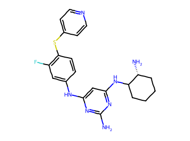 Nc1nc(Nc2ccc(Sc3ccncc3)c(F)c2)cc(NC2CCCC[C@H]2N)n1